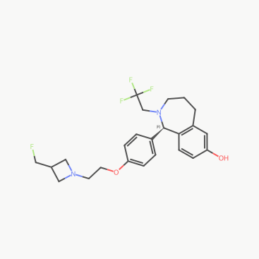 Oc1ccc2c(c1)CCCN(CC(F)(F)F)[C@@H]2c1ccc(OCCN2CC(CF)C2)cc1